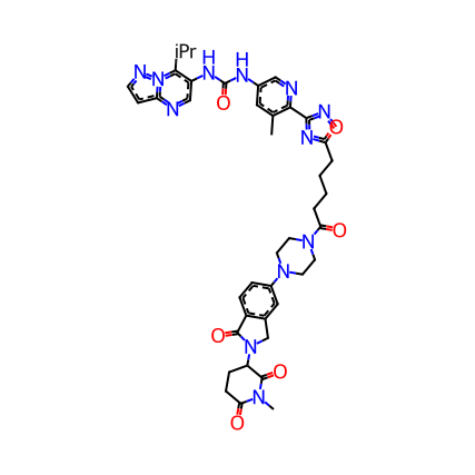 Cc1cc(NC(=O)Nc2cnc3ccnn3c2C(C)C)cnc1-c1noc(CCCCC(=O)N2CCN(c3ccc4c(c3)CN(C3CCC(=O)N(C)C3=O)C4=O)CC2)n1